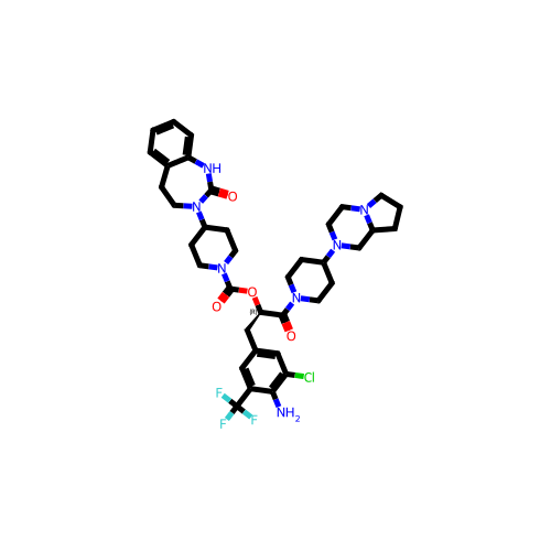 Nc1c(Cl)cc(C[C@@H](OC(=O)N2CCC(N3CCc4ccccc4NC3=O)CC2)C(=O)N2CCC(N3CCN4CCCC4C3)CC2)cc1C(F)(F)F